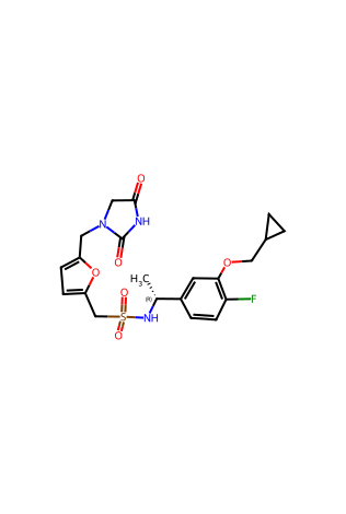 C[C@@H](NS(=O)(=O)Cc1ccc(CN2CC(=O)NC2=O)o1)c1ccc(F)c(OCC2CC2)c1